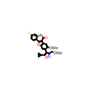 CNC(=O)c1c(-c2ccc(F)cc2)oc2cc(-c3c(COC)noc3C3CC3)c(OC)cc12